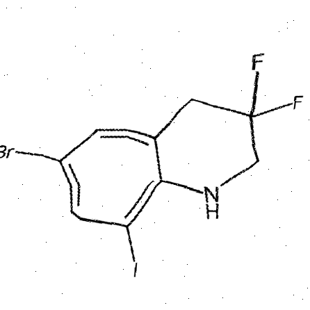 FC1(F)CNc2c(I)cc(Br)cc2C1